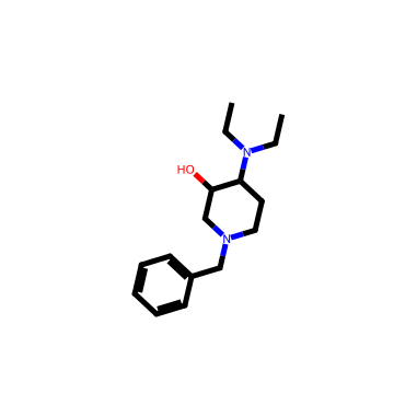 CCN(CC)C1CCN(Cc2ccccc2)CC1O